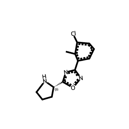 Cc1c(Cl)cccc1-c1noc([C@@H]2CCCN2)n1